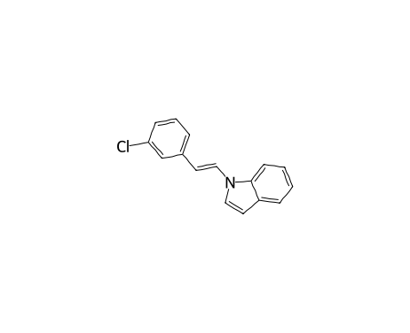 Clc1cccc(C=Cn2ccc3ccccc32)c1